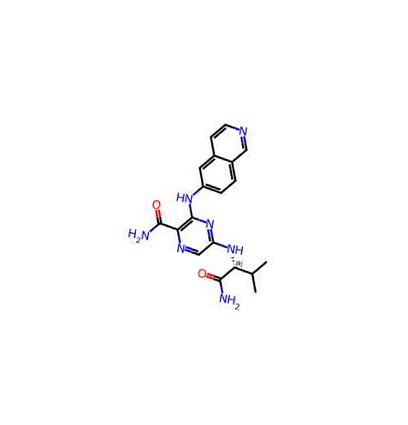 CC(C)[C@@H](Nc1cnc(C(N)=O)c(Nc2ccc3cnccc3c2)n1)C(N)=O